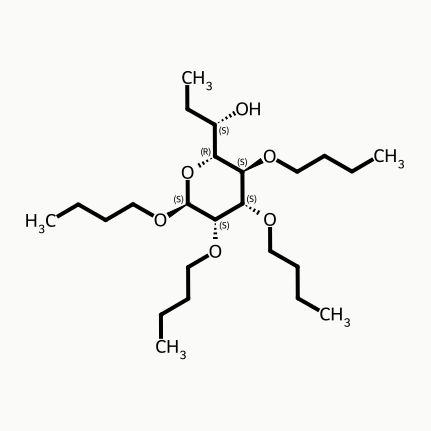 CCCCO[C@H]1O[C@H]([C@@H](O)CC)[C@@H](OCCCC)[C@H](OCCCC)[C@@H]1OCCCC